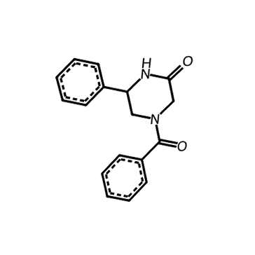 O=C1CN(C(=O)c2ccccc2)CC(c2ccccc2)N1